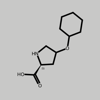 O=C(O)[C@@H]1CC(OC2CCCCC2)CN1